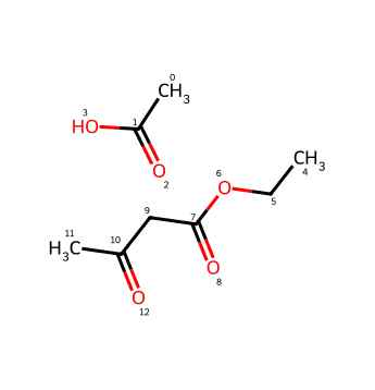 CC(=O)O.CCOC(=O)CC(C)=O